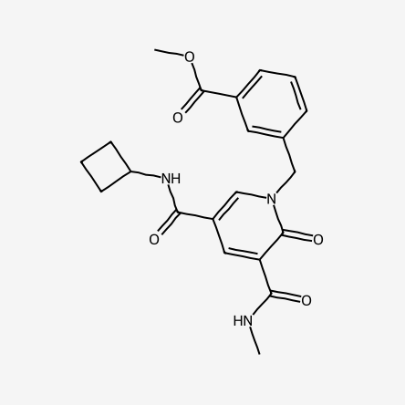 CNC(=O)c1cc(C(=O)NC2CCC2)cn(Cc2cccc(C(=O)OC)c2)c1=O